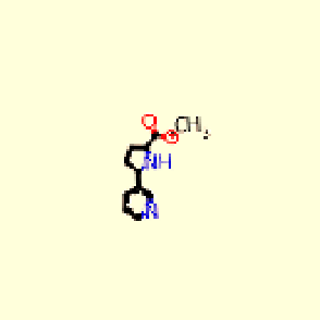 COC(=O)C1CCC(c2cccnc2)N1